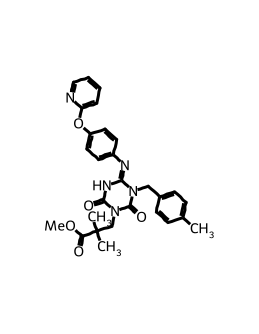 COC(=O)C(C)(C)Cn1c(=O)[nH]/c(=N\c2ccc(Oc3ccccn3)cc2)n(Cc2ccc(C)cc2)c1=O